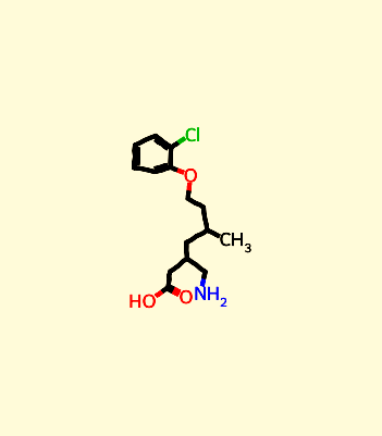 CC(CCOc1ccccc1Cl)CC(CN)CC(=O)O